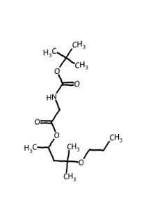 CCCOC(C)(C)CC(C)OC(=O)CNC(=O)OC(C)(C)C